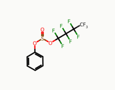 O=S(Oc1ccccc1)OC(F)(F)C(F)(F)C(F)(F)C(F)(F)F